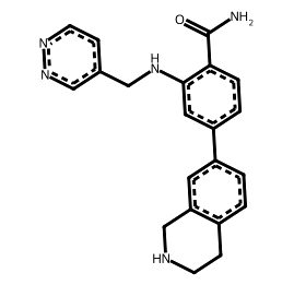 NC(=O)c1ccc(-c2ccc3c(c2)CNCC3)cc1NCc1ccnnc1